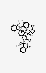 CCOC(OCC)(c1ccccc1)N1CC2(CCC(c3ccccc3)(N(C)c3ccccc3C)CC2)N(C(C)(CC)C2(CC)CCC2CC)C1=O